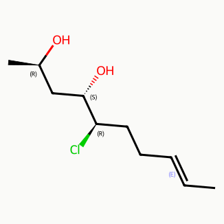 C/C=C/CC[C@@H](Cl)[C@@H](O)C[C@@H](C)O